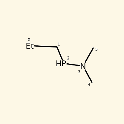 CCCPN(C)C